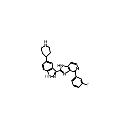 Fc1cccc(-c2nccc3[nH]c(-c4n[nH]c5ccc(C6CCNCC6)cc45)nc23)c1